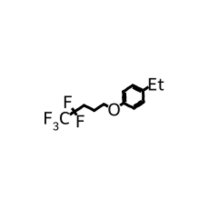 CCc1ccc(OCCCC(F)(F)C(F)(F)F)cc1